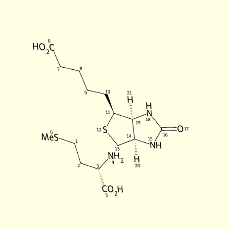 CSCC[C@H](N)C(=O)O.O=C(O)CCCC[C@@H]1SC[C@@H]2NC(=O)N[C@@H]21